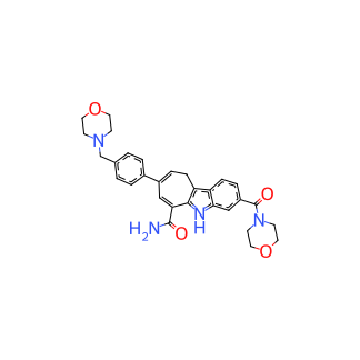 NC(=O)C1=CC(c2ccc(CN3CCOCC3)cc2)=CCc2c1[nH]c1cc(C(=O)N3CCOCC3)ccc21